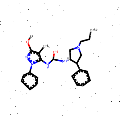 CCOc1nn(-c2ccccc2)c(NC(O)N[C@@H]2CN(CCOC)CC2c2ccccc2)c1C